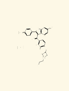 CCCN1CC(Oc2ccc(C(=O)c3c(-c4ccc(O)cc4)sc4cc(O)ccc34)cc2F)C1.Cl